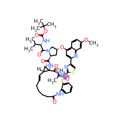 COc1ccc2c(O[C@@H]3C[C@@H](C(=O)N[C@]45C[C@H]4/C=C/CCCCC(=O)Nc4ccccc4S(=O)(=O)NC5=O)N(C(=O)[C@@H](NC(=O)OC(C)(C)C)C(C)C)C3)cc(-c3csc(NC(C)C)n3)nc2c1